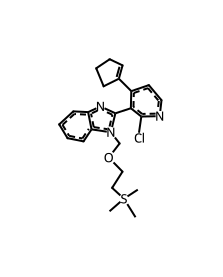 CS(C)(C)CCOCn1c(-c2c(C3=CCCC3)ccnc2Cl)nc2ccccc21